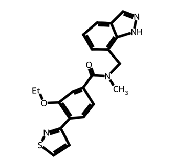 CCOc1cc(C(=O)N(C)Cc2cccc3cn[nH]c23)ccc1-c1ccsn1